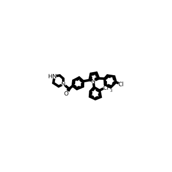 O=C(c1ccc(-c2ccc(-c3ccc(Cl)cc3)n2-c2ccccc2C(F)(F)F)cc1)N1CCNCC1